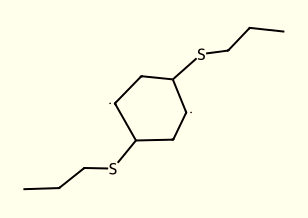 CCCSC1[CH]CC(SCCC)[CH]C1